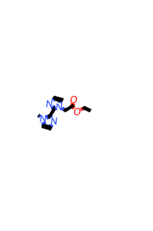 CCOC(=O)Cn1ccnc1-c1nccn1C